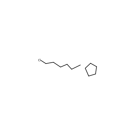 C1CCCC1.CCCCCCCl